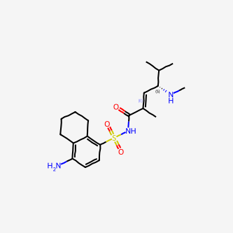 CN[C@H](/C=C(\C)C(=O)NS(=O)(=O)c1ccc(N)c2c1CCCC2)C(C)C